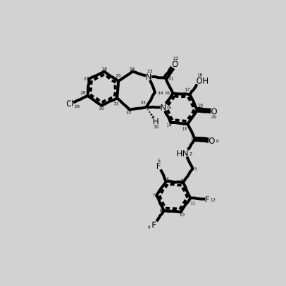 O=C(NCc1c(F)cc(F)cc1F)c1cn2c(c(O)c1=O)C(=O)N1Cc3ccc(Cl)cc3C[C@H]2C1